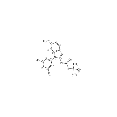 Cc1ccc2nc(NC(=O)CC(C)(C)O)n(-c3cc(F)cc(F)c3)c2n1